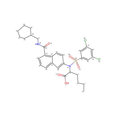 CCCCC(C(=O)O)N(c1ccc2c(C(=O)NCC3CCCCC3)cccc2c1)S(=O)(=O)c1cc(Cl)cc(Cl)c1